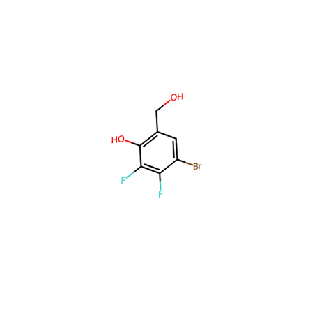 OCc1cc(Br)c(F)c(F)c1O